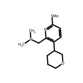 CSc1ccc(C2CCCOC2)c(CN(C)C)n1